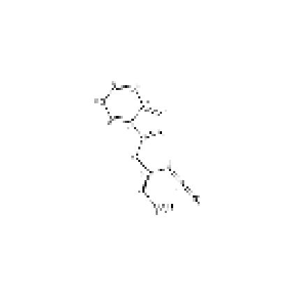 [N-]=[N+]=N[C@@H](CC(=O)O)Cc1ccc2ccscc1-2